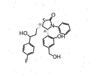 O=C1S[C@@H](CCC(O)c2ccc(F)cc2)[C@@H](c2ccc(CO)cc2O)N1c1ccccc1